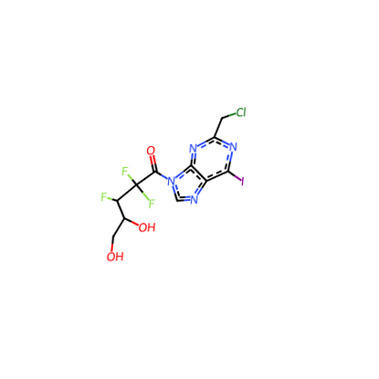 O=C(n1cnc2c(I)nc(CCl)nc21)C(F)(F)C(F)C(O)CO